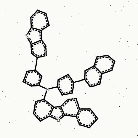 c1cc(-c2ccc3c(c2)sc2ccccc23)cc(N(c2ccc(-c3ccc4ccccc4c3)cc2)c2cccc3oc4c5ccccc5ccc4c23)c1